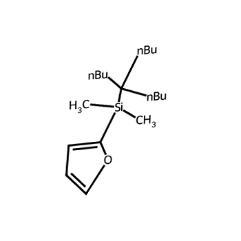 CCCCC(CCCC)(CCCC)[Si](C)(C)c1ccco1